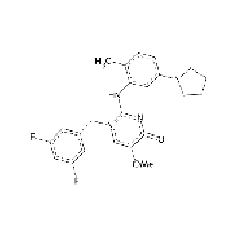 COc1cn(Cc2cc(F)cc(F)c2)c(Nc2cc(N3CCCC3)ccc2C)nc1=O